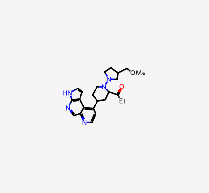 CCC(=O)C1CC(c2ccnc3cnc4[nH]ccc4c23)CCN1N1CCC(COC)C1